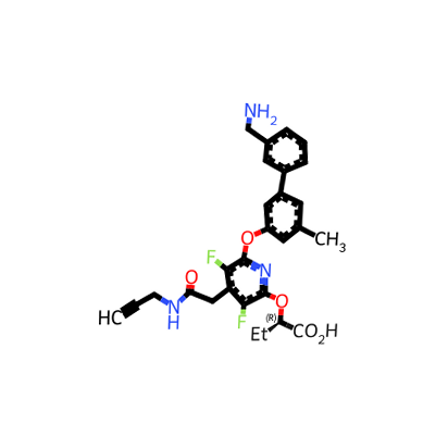 C#CCNC(=O)Cc1c(F)c(Oc2cc(C)cc(-c3cccc(CN)c3)c2)nc(O[C@H](CC)C(=O)O)c1F